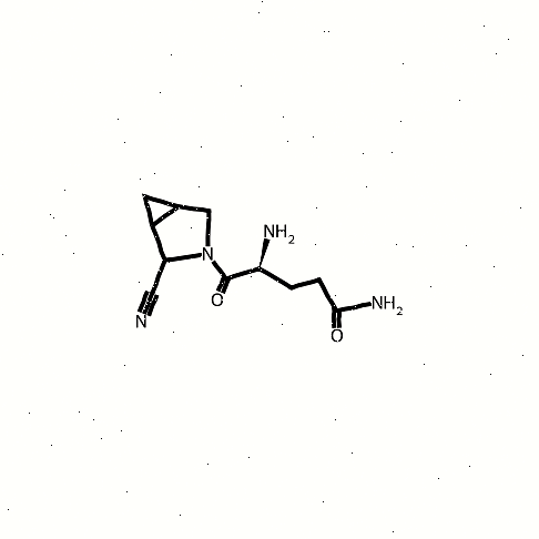 N#CC1C2CC2CN1C(=O)[C@@H](N)CCC(N)=O